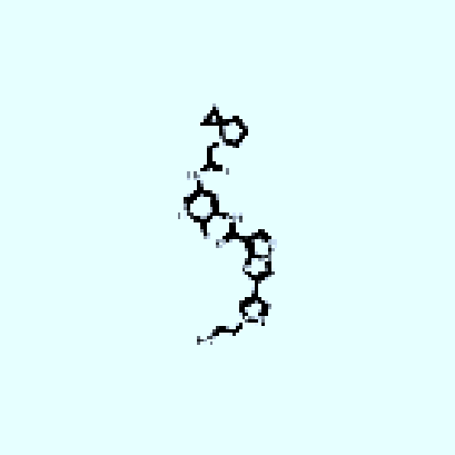 CC1NC=C(NC(=O)CN2CCCC23CC3)C=C1NC(=O)c1cnn2cc(-c3cnn(CCO)c3)sc12